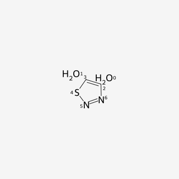 O.O.c1csnn1